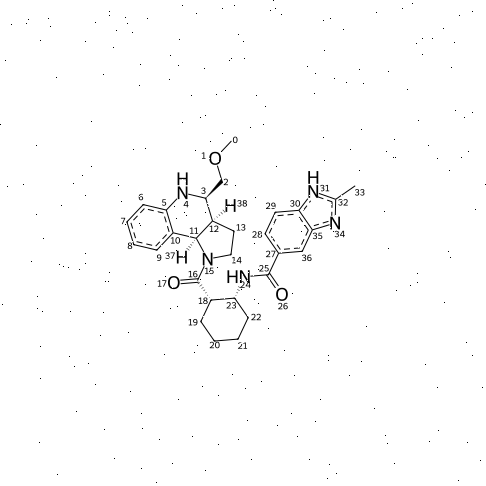 COC[C@@H]1Nc2ccccc2[C@H]2[C@@H]1CCN2C(=O)[C@H]1CCCC[C@H]1NC(=O)c1ccc2[nH]c(C)nc2c1